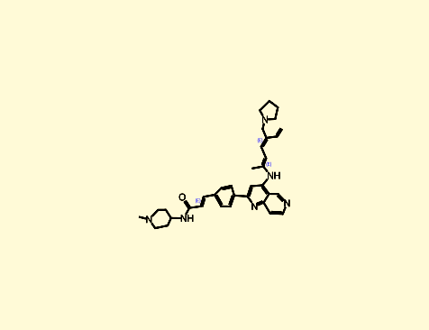 C=C/C(=C\C=C(/C)Nc1cc(-c2ccc(/C=C/C(=O)NC3CCN(C)CC3)cc2)nc2ccncc12)CN1CCCC1